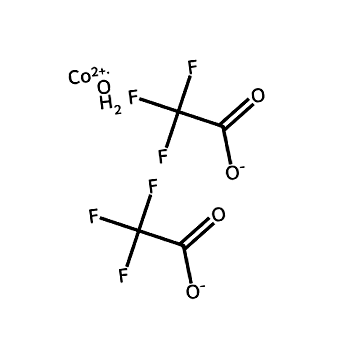 O.O=C([O-])C(F)(F)F.O=C([O-])C(F)(F)F.[Co+2]